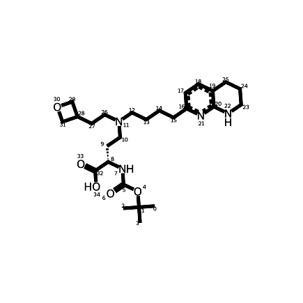 CC(C)(C)OC(=O)N[C@@H](CCN(CCCCc1ccc2c(n1)NCCC2)CCC1COC1)C(=O)O